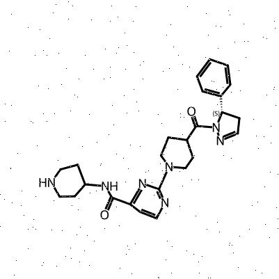 O=C(NC1CCNCC1)c1ccnc(N2CCC(C(=O)N3N=CC[C@H]3c3ccccc3)CC2)n1